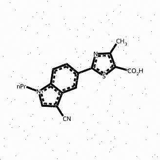 CCCn1cc(C#N)c2cc(-c3nc(C)c(C(=O)O)s3)ccc21